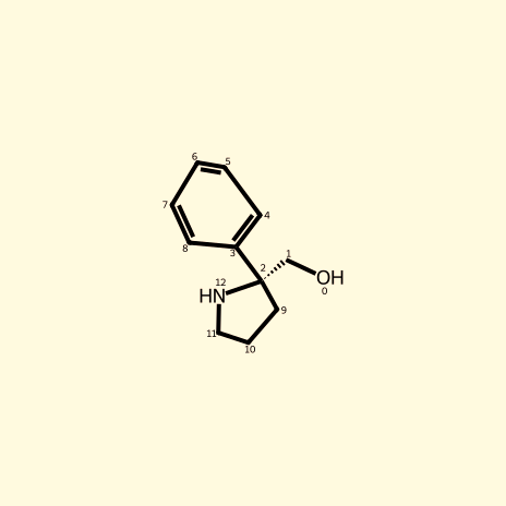 OC[C@]1(c2ccccc2)CCCN1